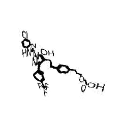 O=C(O)COCCCc1ccc(CCc2c(-c3ccc(C(F)(F)F)cc3)nn(-c3nc4cc(Cl)ccc4[nH]3)c2O)cc1